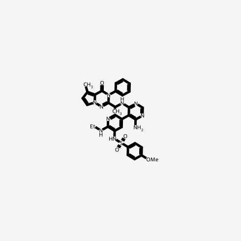 CCNc1ncc(-c2c(N)ncnc2NC(C)c2nn3ccc(C)c3c(=O)n2-c2ccccc2)cc1NS(=O)(=O)c1ccc(OC)cc1